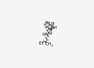 CCC=C(C)C=CCNC(=O)Cc1n[nH]c(=O)c2ncccc12